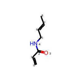 C=CC(=O)NCC=CC